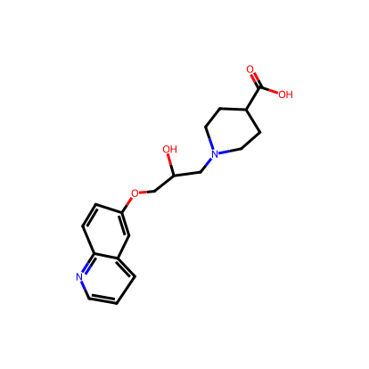 O=C(O)C1CCN(CC(O)COc2ccc3ncccc3c2)CC1